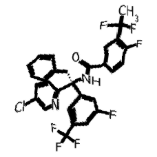 CC(F)(F)c1cc(C(=O)N[C@@](Cc2ccccc2)(c2cc(F)cc(C(F)(F)F)c2)c2ccc(Cl)cn2)ccc1F